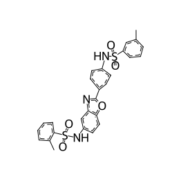 Cc1cccc(S(=O)(=O)Nc2ccc(-c3nc4cc(NS(=O)(=O)c5ccccc5C)ccc4o3)cc2)c1